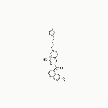 COc1ccc2nccc([C@H](O)CC[C@@H]3CCN(CCCCc4ccc(C)s4)C[C@@H]3C(=O)O)c2c1